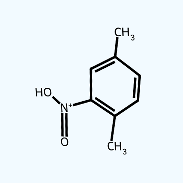 Cc1ccc(C)c([N+](=O)O)c1